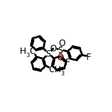 Cc1cccc(C)c1S(OS(=O)(=O)c1ccc(F)cc1F)(c1ccccc1)c1ccccc1